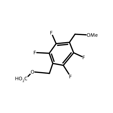 COCc1c(F)c(F)c(COC(=O)O)c(F)c1F